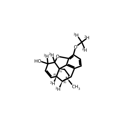 [2H]C([2H])([2H])Oc1ccc2c3c1OC1([2H])C([2H])(O)C=C[C@@]4([2H])[C@@]([2H])(C2)N(C)CC[C@]314